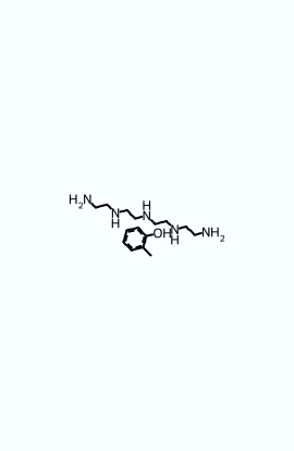 Cc1ccccc1O.NCCNCCNCCNCCN